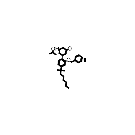 C=C.CCCCCCC(C)(C)c1ccc([C@@H]2CC(=O)CC[C@H]2CC(C)O)c(OCc2ccccc2)c1